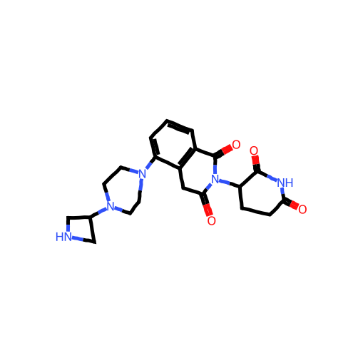 O=C1CCC(N2C(=O)Cc3c(cccc3N3CCN(C4CNC4)CC3)C2=O)C(=O)N1